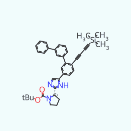 CC(C)(C)OC(=O)N1CCC[C@H]1c1ncc(-c2ccc(C#CC#C[Si](C)(C)C)c(-c3cccc(-c4ccccc4)c3)c2)[nH]1